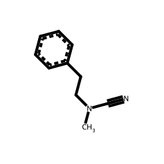 CN(C#N)CCc1ccccc1